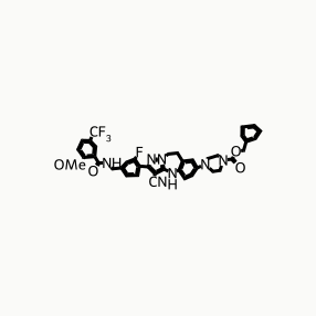 COc1ccc(C(F)(F)F)cc1C(=O)NCc1ccc(-c2nn3c(c2C#N)Nc2ccc(N4CCN(C(=O)OCc5ccccc5)CC4)cc2CC3)c(F)c1